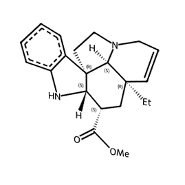 CC[C@]12C=CCN3CC[C@]4(c5ccccc5N[C@H]4[C@@H](C(=O)OC)C1)[C@@H]32